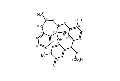 CCn1ccc(C(CC(=O)O)c2ccc(C)c(CN3CC(C)Oc4ccccc4S3(O)O)c2)cc1=O